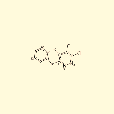 Cc1c(Cl)nnc(Cc2ccccc2)c1C